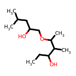 CCC(O)C(C)C(C)OCC(O)CC(C)C